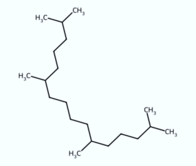 CC(C)CCCC(C)CCCCC(C)CCCC(C)C